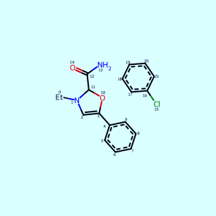 CCN1C=C(c2ccccc2)OC1C(N)=O.Clc1ccccc1